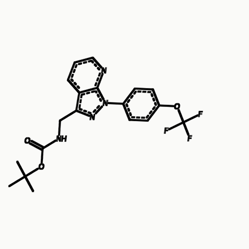 CC(C)(C)OC(=O)NCc1nn(-c2ccc(OC(F)(F)F)cc2)c2ncccc12